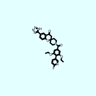 CCOc1cc(C(=O)N2CCC3(CC2)CC(=O)c2cc(-c4nnn[nH]4)ccc2O3)cc(OCC)c1-c1ccc(F)nc1